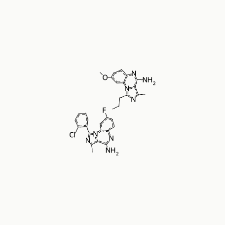 CCCc1nc(C)c2c(N)nc3ccc(OC)cc3n12.Cc1nc(-c2ccccc2Cl)n2c1c(N)nc1ccc(F)cc12